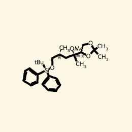 CO[C@](C)(C[C@@H](C)CO[Si](c1ccccc1)(c1ccccc1)C(C)(C)C)[C@H]1COC(C)(C)O1